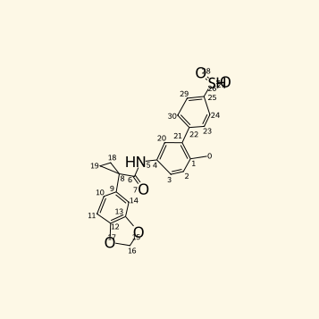 Cc1ccc(NC(=O)C2(c3ccc4c(c3)OCO4)CC2)cc1-c1ccc([SH](=O)=O)cc1